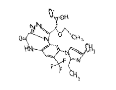 CCO/C(c1nnc2c(=O)[nH]c3cc(C(F)(F)F)c(-n4cc(C)nc4CC)cc3n12)=[P+](/[O-])O